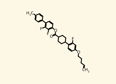 C=CCCCOc1ccc(C2CCC(C(=O)Oc3ccc(-c4ccc(C)cc4)c(F)c3F)CC2)c(F)c1